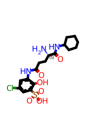 N[C@@H](CCC(=O)Nc1cc(Cl)cc(S(=O)(=O)O)c1O)C(=O)NC1CCCCC1